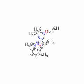 C#CCON=C(C)C(C)=N/N=C(/CC)OCc1c(C)cccc1N(C)N